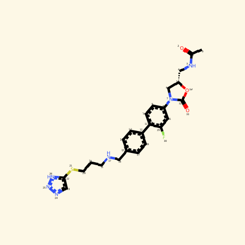 CC(=O)NC[C@H]1CN(c2ccc(-c3ccc(CNCCCSc4cnn[nH]4)cc3)c(F)c2)C(=O)O1